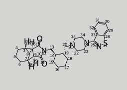 O=C1[C@@H]2[C@H]3CCC[C@H](C3)[C@@H]2C(=O)N1C[C@@H]1CCCC[C@H]1CN1CCN(c2nsc3ccccc23)CC1